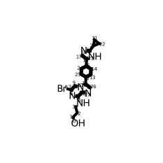 OCCCNc1nc(Br)cn2c(-c3ccc(-c4cnc(C5CC5)[nH]4)cc3)cnc12